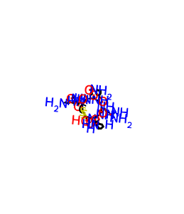 CC(=O)N[C@H](CCCCN)C(=O)N[C@H]1CCSSC(C)(C)[C@@H](C(=O)O)NC(=O)[C@H](Cc2c[nH]c3ccccc23)NC(=O)[C@H](CCCNC(=N)N)NC(=O)[C@@H](Cc2ccccc2)NC(=O)[C@H](CCC(N)=O)NC1=O